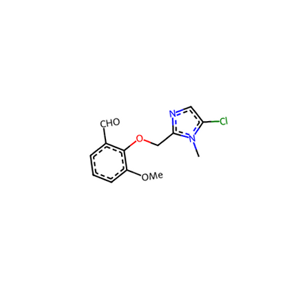 COc1cccc(C=O)c1OCc1ncc(Cl)n1C